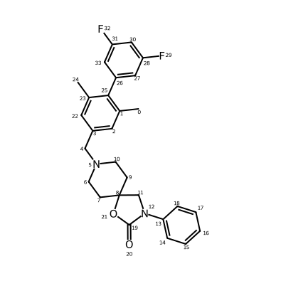 Cc1cc(CN2CCC3(CC2)CN(c2ccccc2)C(=O)O3)cc(C)c1-c1cc(F)cc(F)c1